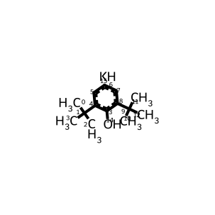 CC(C)(C)c1cccc(C(C)(C)C)c1O.[KH]